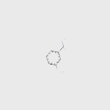 COc1cccc([C@@H](C)N)c1.Cl